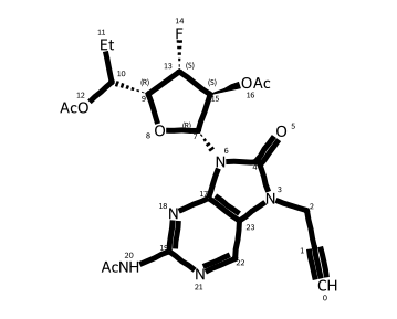 C#CCn1c(=O)n([C@@H]2O[C@H](C(CC)OC(C)=O)[C@H](F)[C@H]2OC(C)=O)c2nc(NC(C)=O)ncc21